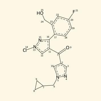 O=C(c1cnn(CC2CC2)c1)c1cn(Cl)nc1-c1ccc(F)cc1CO